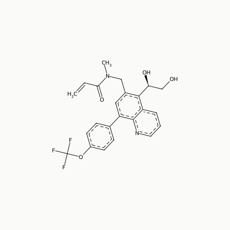 C=CC(=O)N(C)Cc1cc(-c2ccc(OC(F)(F)F)cc2)c2ncccc2c1[C@@H](O)CO